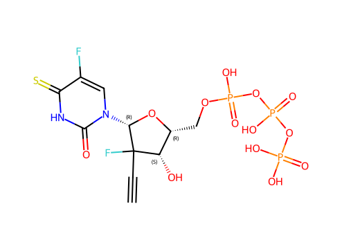 C#CC1(F)[C@@H](O)[C@@H](COP(=O)(O)OP(=O)(O)OP(=O)(O)O)O[C@H]1n1cc(F)c(=S)[nH]c1=O